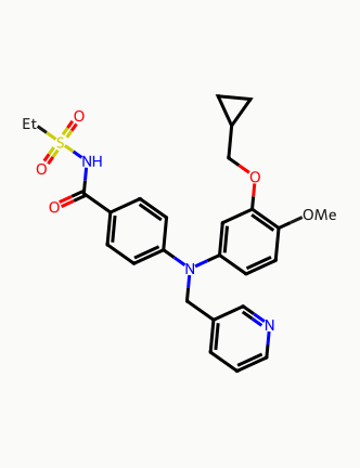 CCS(=O)(=O)NC(=O)c1ccc(N(Cc2cccnc2)c2ccc(OC)c(OCC3CC3)c2)cc1